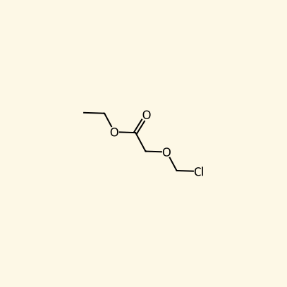 CCOC(=O)COCCl